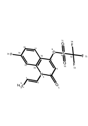 CC=Cn1c(=O)cc(OS(=O)(=O)C(F)(F)F)c2ccc(F)cc21